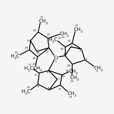 CC1C2C[C]([Cr]([C]34CC(C(C)C3C)C(C)C4C)[C]34CC(C(C)C3C)C(C)C4C)(C1C)C(C)C2C